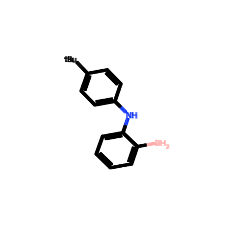 Bc1ccccc1Nc1ccc(C(C)(C)C)cc1